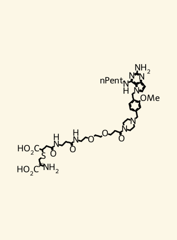 CCCCCNc1nc(N)nc2ccn(Cc3ccc(CN4CCN(C(=O)CCOCCOCCNC(=O)CCNC(=O)CC(SC[C@H](N)C(=O)O)C(=O)O)CC4)cc3OC)c12